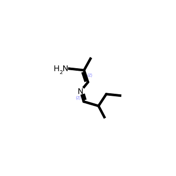 CCC(C)/C=N\C=C(\C)N